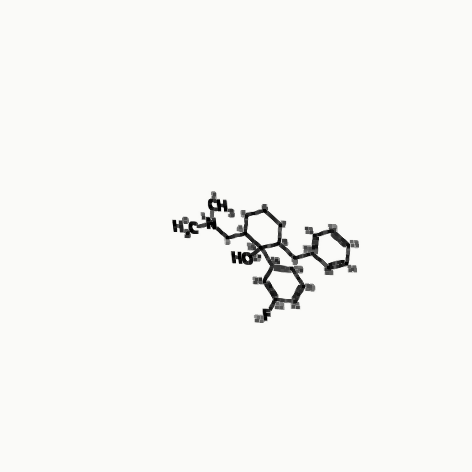 CN(C)CC1CCCC(Cc2ccccc2)C1(O)c1cccc(F)c1